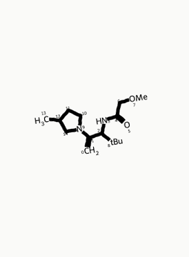 C=C(C(NC(=O)COC)C(C)(C)C)N1CCC(C)C1